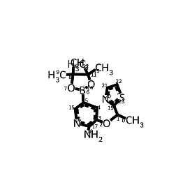 CC(Oc1cc(B2OC(C)(C)C(C)(C)O2)cnc1N)c1nccs1